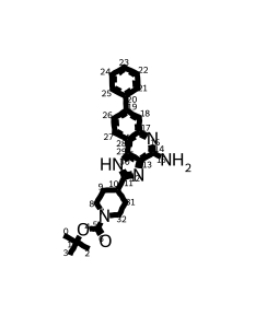 CC(C)(C)OC(=O)N1CCC(c2nc3c(N)nc4cc(-c5ccccc5)ccc4c3[nH]2)CC1